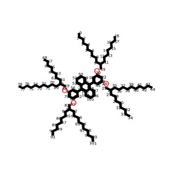 CCCCCCCCCCC(CCCCCCCC)COc1cc(OCC(CCCCCCCC)CCCCCCCCCC)cc(-c2c3ccccc3c(-c3cc(OCC(CCCCCCCC)CCCCCCCCCC)cc(OCC(CCCCCCCC)CCCCCCCCCC)c3)c3ccccc23)c1